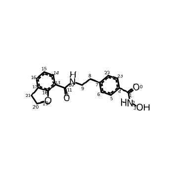 O=C(NO)c1ccc(CCNC(=O)c2cccc3c2OCC3)cc1